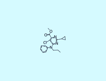 CCCN(c1ccccc1)c1nc(C2CC2)nc(C(=O)OC)c1Cl